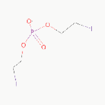 [O]P(=O)(OCCI)OCCI